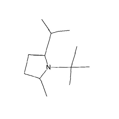 CC(C)C1CCC(C)N1C(C)(C)C